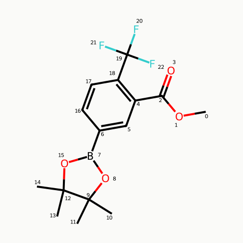 COC(=O)c1cc(B2OC(C)(C)C(C)(C)O2)ccc1C(F)(F)F